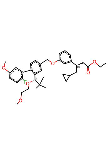 CCOC(=O)C[C@@H](CC1CC1)c1cccc(OCc2ccc(-c3cc(OC)ccc3F)c([C@@H](OCCOC)C(C)(C)C)c2)c1